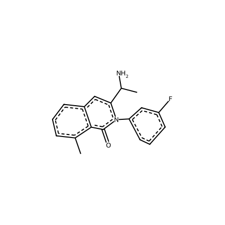 Cc1cccc2cc(C(C)N)n(-c3cccc(F)c3)c(=O)c12